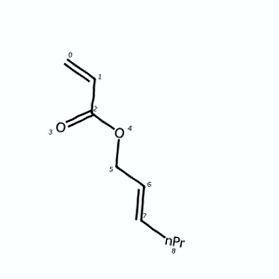 C=CC(=O)OCC=CCCC